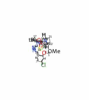 COCOc1cc(Cl)ccc1-c1nnc(N(C2CC2)[C@H]2C[C@@H]3CC[C@H]([C@H]2F)N3C(=O)OC(C)(C)C)s1